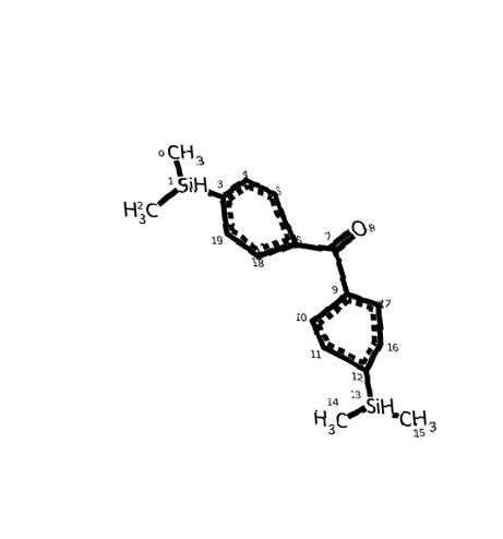 C[SiH](C)c1ccc(C(=O)c2ccc([SiH](C)C)cc2)cc1